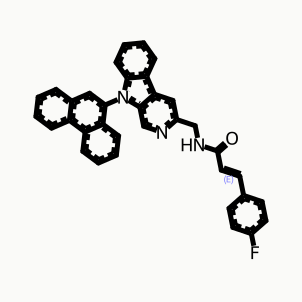 O=C(/C=C/c1ccc(F)cc1)NCc1cc2c3ccccc3n(-c3cc4ccccc4c4ccccc34)c2cn1